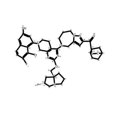 CCc1c(F)ccc2cc(O)cc(N3CCc4c(nc(OC[C@@]56CCCN5C[C@H](F)C6)nc4N4CCCn5nc(C(=O)N6CC7CCC6CC7)cc5C4)C3)c12